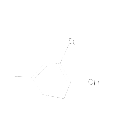 CCC1=C(O)CCC(C)=C1